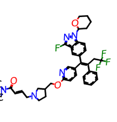 CN(C)C(=O)/C=C/CN1CCC(COc2ccc(/C(=C(/CC(F)(F)F)c3ccccc3)c3ccc4c(c3)c(F)nn4C3CCCCO3)cn2)C1